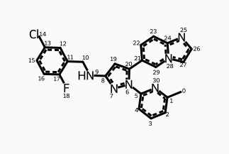 Cc1cccc(-n2nc(NCc3cc(Cl)ccc3F)cc2-c2ccc3nccn3c2)n1